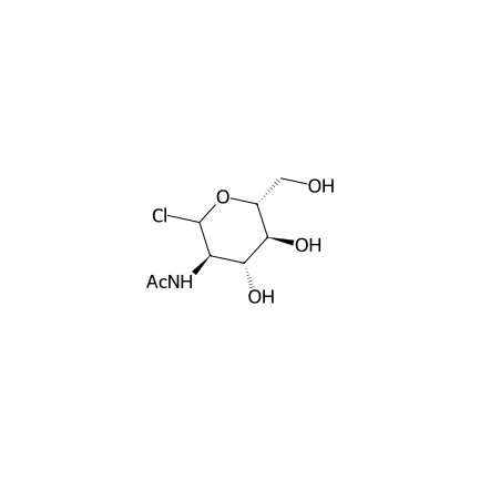 CC(=O)N[C@H]1C(Cl)O[C@H](CO)[C@@H](O)[C@@H]1O